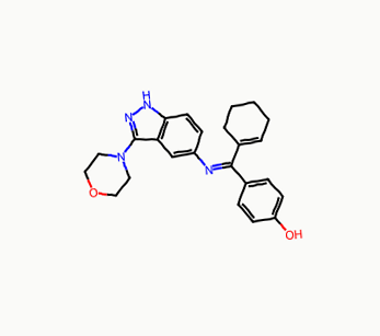 Oc1ccc(/C(=N/c2ccc3[nH]nc(N4CCOCC4)c3c2)C2=CCCCC2)cc1